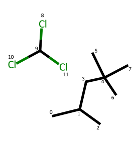 CC(C)CC(C)(C)C.ClC(Cl)Cl